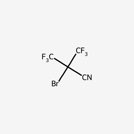 N#CC(Br)(C(F)(F)F)C(F)(F)F